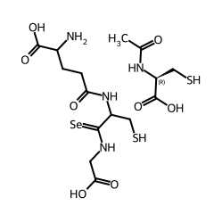 CC(=O)N[C@@H](CS)C(=O)O.NC(CCC(=O)NC(CS)C(=[Se])NCC(=O)O)C(=O)O